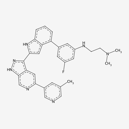 Cc1cncc(-c2cc3c(-c4cc5c(-c6cc(F)cc(NCCN(C)C)c6)cccc5[nH]4)n[nH]c3cn2)c1